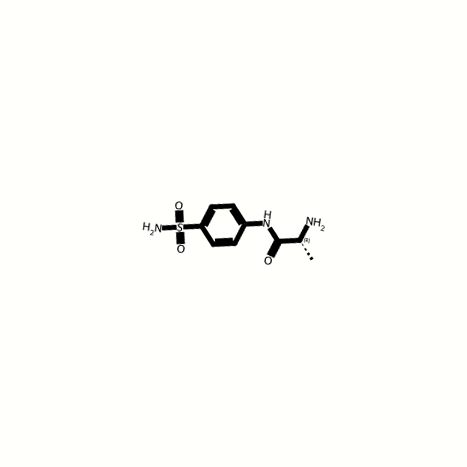 C[C@@H](N)C(=O)Nc1ccc(S(N)(=O)=O)cc1